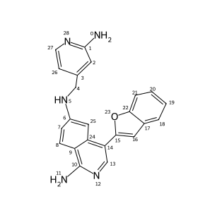 Nc1cc(CNc2ccc3c(N)ncc(-c4cc5ccccc5o4)c3c2)ccn1